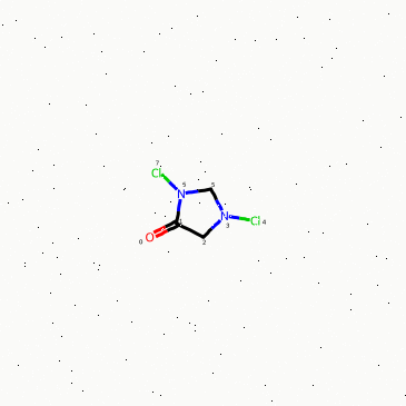 O=C1CN(Cl)CN1Cl